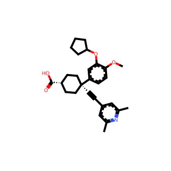 COc1ccc([C@]2(C#Cc3cc(C)nc(C)c3)CC[C@@H](C(=O)O)CC2)cc1OC1CCCC1